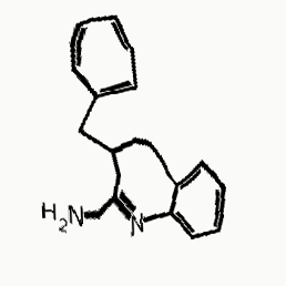 NC1=Nc2ccccc2CC1Cc1ccccc1